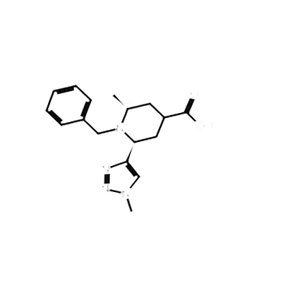 C[C@H]1CC(C(=O)O)C[C@@H](c2cn(C)nn2)N1Cc1ccccc1